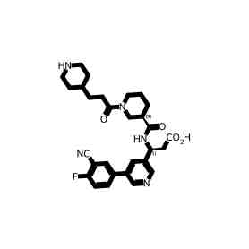 N#Cc1cc(-c2cncc([C@H](CC(=O)O)NC(=O)[C@@H]3CCCN(C(=O)CCC4CCNCC4)C3)c2)ccc1F